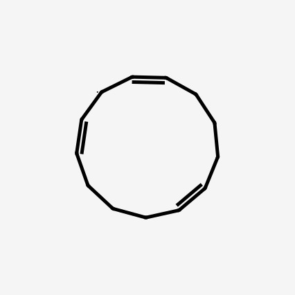 [CH]1C=CCCCC=CCCCC=C1